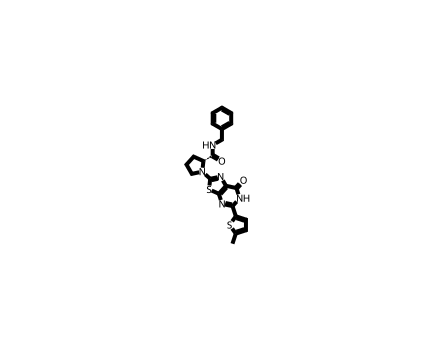 Cc1ccc(-c2nc3sc(N4CCC[C@@H]4C(=O)NCc4ccccc4)nc3c(=O)[nH]2)s1